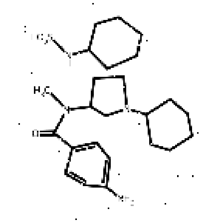 CN(C(=O)c1ccc(N)cc1)C1CCN(C2CCCCC2)C1.O=S(=O)(O)NC1CCCCC1